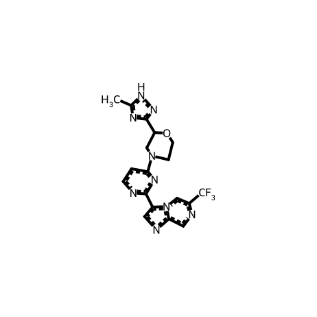 Cc1nc(C2CN(c3ccnc(-c4cnc5cnc(C(F)(F)F)cn45)n3)CCO2)n[nH]1